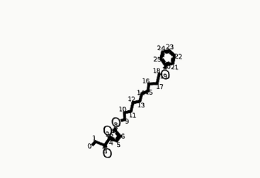 CCC(=O)c1ccc(OCCCCCCCCCCOc2ccccc2)o1